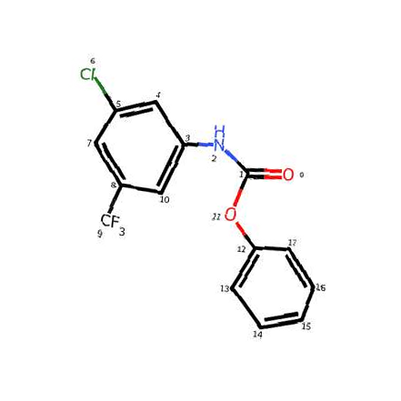 O=C(Nc1cc(Cl)cc(C(F)(F)F)c1)Oc1ccccc1